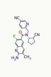 Cc1cc2cc(C(=O)N(Cc3ccc(C#N)cn3)[C@H]3CCC[C@@H]3C#N)c(F)cc2nc1N